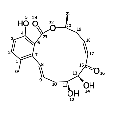 Cc1ccc(O)c2c1/C=C/C[C@H](O)[C@H](O)C(=O)/C=C\C[C@H](C)OC2=O